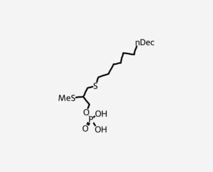 CCCCCCCCCCCCCCCCSCC(COP(=O)(O)O)SC